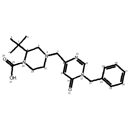 CC(C)(C)C1CN(Cc2cc(=O)n(Cc3ccccc3)cn2)CCN1C(=O)O